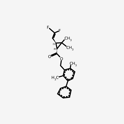 Cc1ccc(-c2ccccc2)c(C)c1COC(=O)[C@@H]1[C@@H](C=C(F)F)C1(C)C